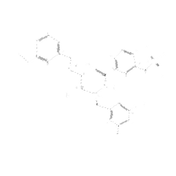 CCc1cccc(CNC[C@@H](O)[C@H](Cc2cc(F)cc(F)c2)NC(=O)c2cccc(CS(C)(=O)=O)c2)c1